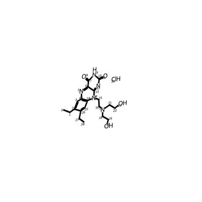 CCc1cc2nc3c(=O)[nH]c(=O)nc-3n(CCN(CCO)CCO)c2cc1CC.Cl